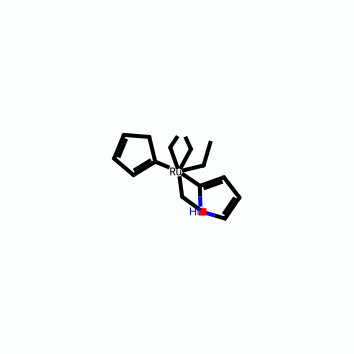 C[CH2][Ru]([CH2]C)([CH2]C)([CH2]C)([C]1=CC=CC1)[c]1ccc[nH]1